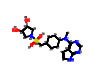 CN(c1ncnc2[nH]ccc12)C1CCC(CS(=O)(=O)N2C[C@@H](O)[C@H](O)C2)CC1